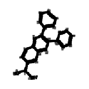 OB(O)c1ccc2nc(-c3ccccc3)c(-c3ccccc3)nc2c1